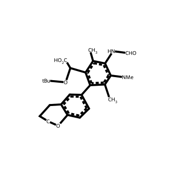 CNc1c(C)c(-c2ccc3c(c2)CCCO3)c(C(OC(C)(C)C)C(=O)O)c(C)c1NC=O